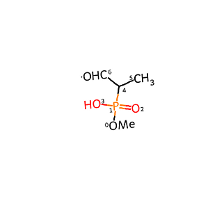 COP(=O)(O)C(C)[C]=O